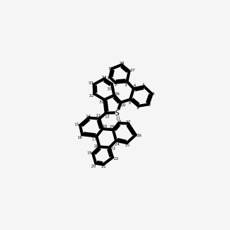 c1ccc(-c2ccccc2-c2sc(-c3cccc4c5ccccc5c5ccccc5c34)c3ccccc23)cc1